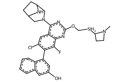 CN1CCC1[SiH2]COc1nc(N2CC3CCC(C2)N3)c2cc(Cl)c(-c3cc(O)cc4ccccc34)c(F)c2n1